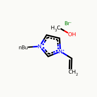 C=C[n+]1ccn(CCCC)c1.CO.[Br-]